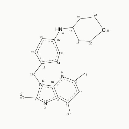 CCc1nc2c(C)cc(C)nc2n1Cc1ccc(NC2CCOCC2)cc1